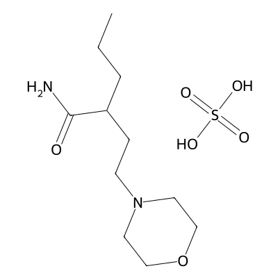 CCCC(CCN1CCOCC1)C(N)=O.O=S(=O)(O)O